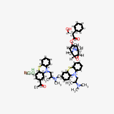 CC(CN1c2ccccc2Sc2ccccc21)N(C)C.CCC(=O)c1ccc2c(c1)N(CC(C)N(C)C)c1ccccc1S2.C[N+]1(C)[C@@H]2C[C@@H](OC(=O)[C@H](CO)c3ccccc3)C[C@H]1[C@@H]1O[C@@H]12.Cl.Cl.[Br-]